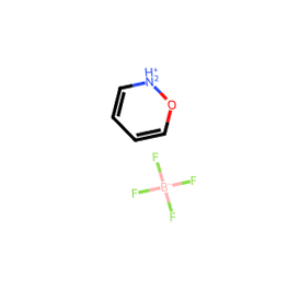 C1=C[NH2+]OC=C1.F[B-](F)(F)F